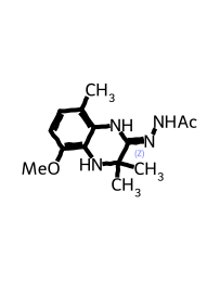 COc1ccc(C)c2c1NC(C)(C)/C(=N/NC(C)=O)N2